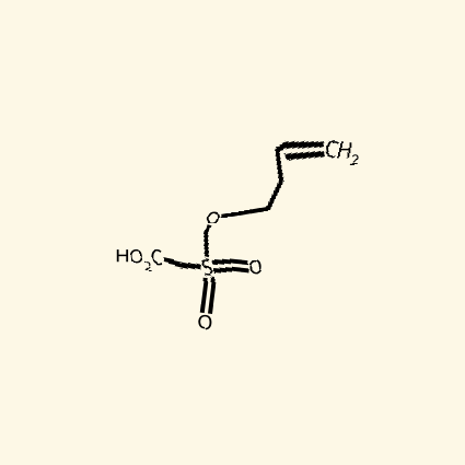 C=CCOS(=O)(=O)C(=O)O